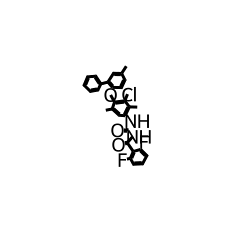 Cc1ccc(Oc2c(C)cc(NC(=O)NC(=O)c3c(F)cccc3F)c(C)c2Cl)c(-c2ccccc2)c1